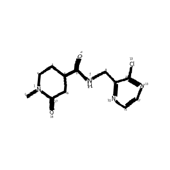 CN1CCC(C(=O)NCc2nccnc2Cl)CC1=O